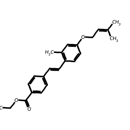 CCOC(=O)c1ccc(/C=C/c2ccc(OCC=C(C)C)cc2C)cc1